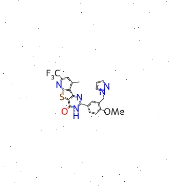 COc1ccc(-c2nc3c(sc4nc(C(F)(F)F)cc(C)c43)c(=O)[nH]2)cc1Cn1cccn1